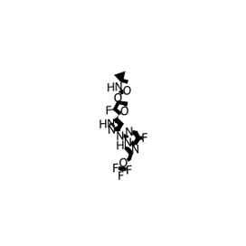 CC1(NC(=O)O[C@@H]2CO[C@H](c3cc(Nc4ncc(F)c5nc(COC(F)(F)F)cn45)n[nH]3)[C@@H]2F)CC1